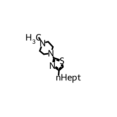 CCCCCCCc1csc(N2CCN(C)CC2)n1